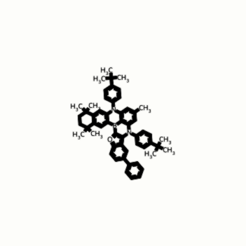 Cc1cc2c3c(c1)N(c1ccc(C(C)(C)C)cc1)c1c(oc4ccc(-c5ccccc5)cc14)B3c1cc3c(cc1N2c1ccc(C(C)(C)C)cc1)C(C)(C)CCC3(C)C